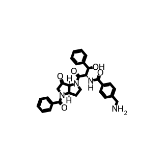 NCc1ccc(C(=O)N[C@H](C(=O)N2CC[C@@H]3[C@H]2C(=O)CN3C(=O)c2ccccc2)C(O)c2ccccc2)cc1